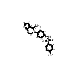 CC(=O)c1ccc(S(=O)(=O)Nc2ccc(N3CN=c4occc4=C3N)cc2)cc1